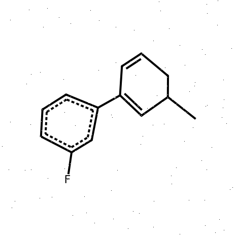 CC1C=C(c2cccc(F)c2)C=CC1